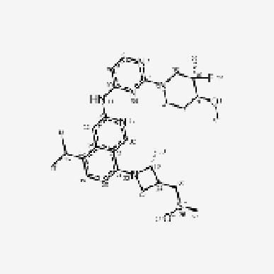 CO[C@H]1CCN(c2nccc(Nc3cc4c(C(C)C)ccc(N5C[C@H](C[S@@+](C)[O-])[C@H]5C)c4cn3)n2)C[C@@]1(C)F